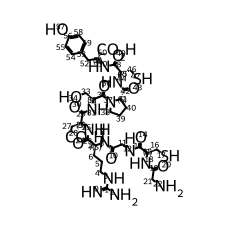 N=C(N)NCCC[C@H](NC(=O)CNC(=O)[C@@H](CS)NC(=O)CN)C(=O)N[C@@H](CC(=O)O)C(=O)N[C@@H](CO)C(=O)N1CCC[C@H]1C(=O)N[C@@H](CS)C(=O)N[C@H](Cc1ccc(O)cc1)C(=O)O